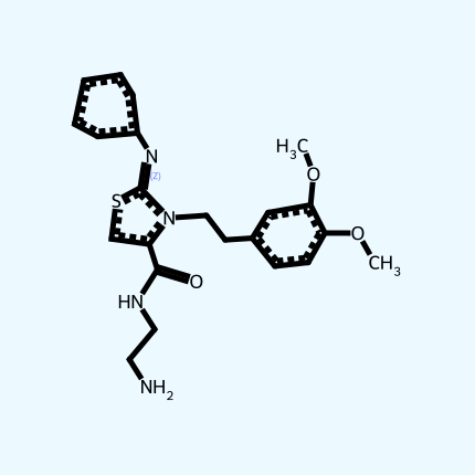 COc1ccc(CCn2c(C(=O)NCCN)cs/c2=N\c2ccccc2)cc1OC